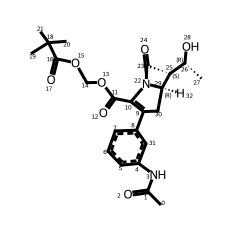 CC(=O)Nc1cccc(C2=C(C(=O)OCOC(=O)C(C)(C)C)N3C(=O)[C@H]([C@@H](C)O)[C@H]3C2)c1